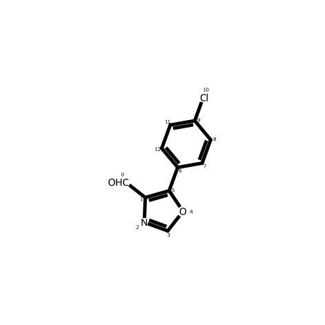 O=Cc1ncoc1-c1ccc(Cl)cc1